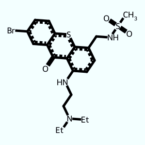 CCN(CC)CCNc1ccc(CNS(C)(=O)=O)c2sc3ccc(Br)cc3c(=O)c12